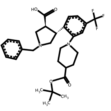 CC(C)(C)OC(=O)C1CCN(c2cc(C(F)(F)F)ccc2[C@@H]2CN(Cc3ccccc3)C[C@H]2C(=O)O)CC1